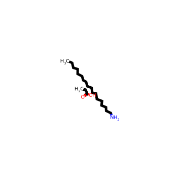 C=CC(=O)O.CCCCCCCCCCCCCCCCCCN